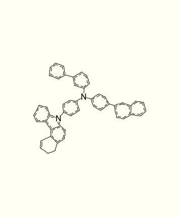 C1=Cc2c(ccc3c2c2ccccc2n3-c2ccc(N(c3ccc(-c4ccc5ccccc5c4)cc3)c3cccc(-c4ccccc4)c3)cc2)CC1